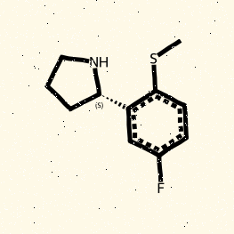 CSc1ccc(F)cc1[C@@H]1CCCN1